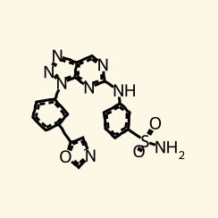 NS(=O)(=O)c1cccc(Nc2ncc3nnn(-c4cccc(-c5cnco5)c4)c3n2)c1